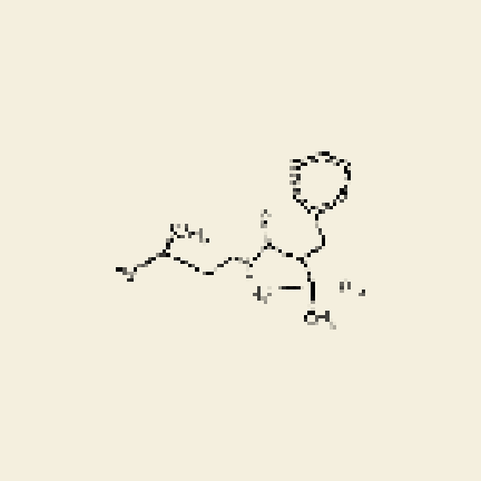 CC(C)CCNC(=O)C(Cc1ccccc1)C(C)(C)C